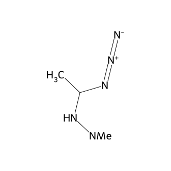 CNNC(C)N=[N+]=[N-]